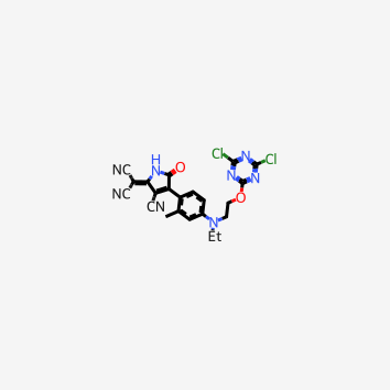 CCN(CCOc1nc(Cl)nc(Cl)n1)c1ccc(C2=C(C#N)C(=C(C#N)C#N)NC2=O)c(C)c1